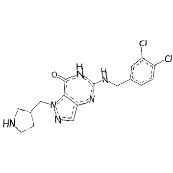 O=c1[nH]c(NCc2ccc(Cl)c(Cl)c2)nc2cnn(CC3CCNC3)c12